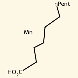 CCCCCCCCCCC(=O)O.[Mn]